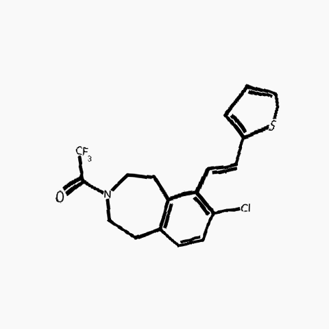 O=C(N1CCc2ccc(Cl)c(C=Cc3cccs3)c2CC1)C(F)(F)F